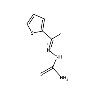 C/C(=N\NC(N)=S)c1cccs1